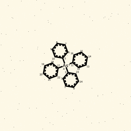 c1ccc([As+](c2ccccc2)(c2ccccc2)c2ccccc2)cc1